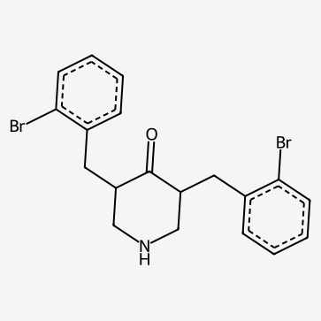 O=C1C(Cc2ccccc2Br)CNCC1Cc1ccccc1Br